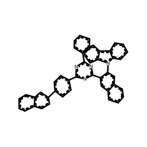 c1ccc(-c2nc(-c3ccc(-c4ccc5ccccc5c4)cc3)nc(-c3cc4ccccc4cc3-n3c4ccccc4c4ccccc43)n2)cc1